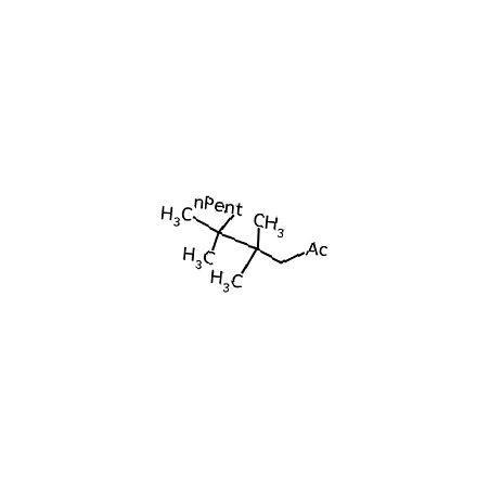 CCCCCC(C)(C)C(C)(C)CC(C)=O